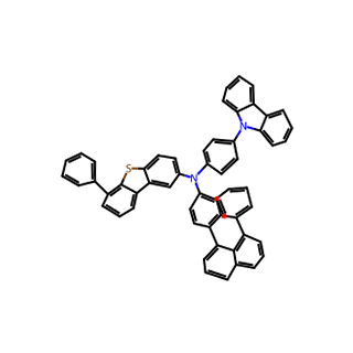 c1ccc(-c2cccc3c2sc2ccc(N(c4ccc(-c5cccc6cccc(-c7ccccc7)c56)cc4)c4ccc(-n5c6ccccc6c6ccccc65)cc4)cc23)cc1